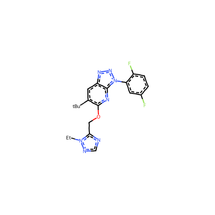 CCn1ncnc1COc1nc2c(cc1C(C)(C)C)nnn2-c1cc(F)ccc1F